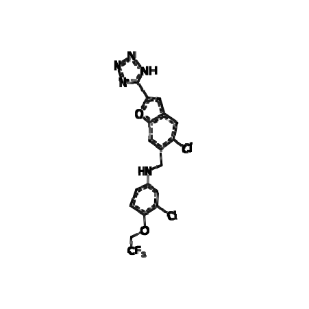 FC(F)(F)COc1ccc(NCc2cc3oc(-c4nnn[nH]4)cc3cc2Cl)cc1Cl